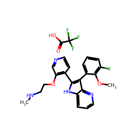 CNCCOc1cnccc1-c1[nH]c2cccnc2c1-c1cccc(F)c1OC.O=C(O)C(F)(F)F